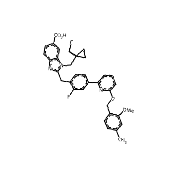 COc1cc(C)ccc1COc1cccc(-c2ccc(Cc3nc4ccc(C(=O)O)cc4n3CC3(CF)CC3)c(F)c2)n1